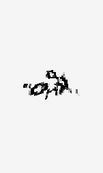 Nc1cc(=O)n(C2CCCC2)c2nc(N[C@H]3CC[C@H](O)CC3)ncc12